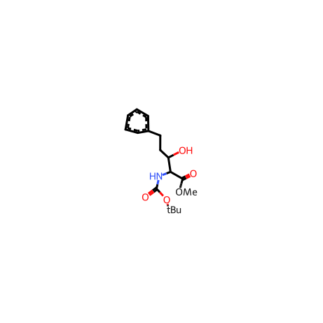 COC(=O)C(NC(=O)OC(C)(C)C)C(O)CCc1ccccc1